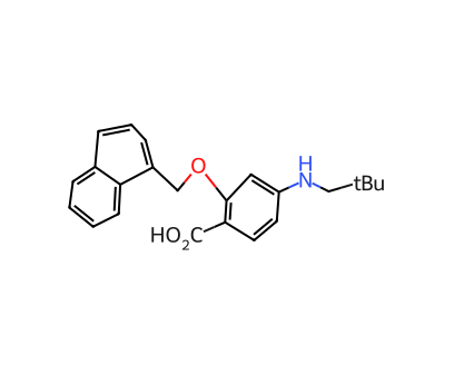 CC(C)(C)CNc1ccc(C(=O)O)c(OCc2cccc3ccccc23)c1